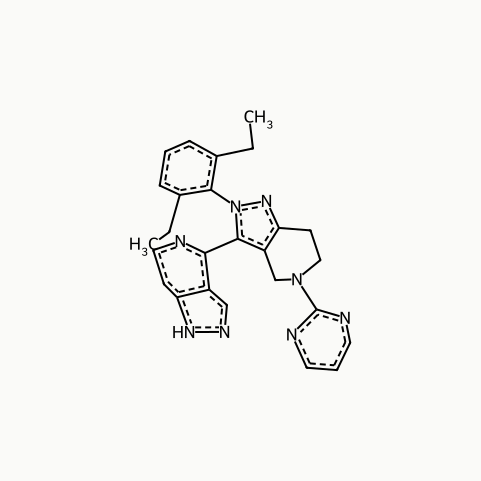 CCc1cccc(CC)c1-n1nc2c(c1-c1nccc3[nH]ncc13)CN(c1ncccn1)CC2